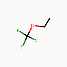 C[CH]OC(F)(F)Cl